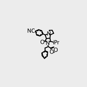 CC(C)C1C2C(C(=O)N1C(Cc1ccccc1)C1=COCO1)C(c1ccc(C#N)cc1)N1CCCC21